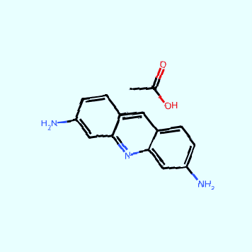 CC(=O)O.Nc1ccc2cc3ccc(N)cc3nc2c1